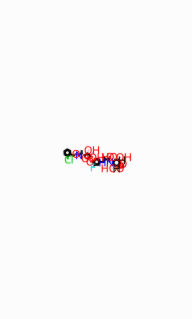 CC(=Cc1ccc(O[C@@H]2O[C@H](C(C)=NOCc3ccccc3Cl)[C@H](O)[C@@]2(C)O)c(F)c1)C(=O)N[C@@H]1[C@H](O)[C@@H](O)[C@H]2OCO[C@H]2[C@@H]1O